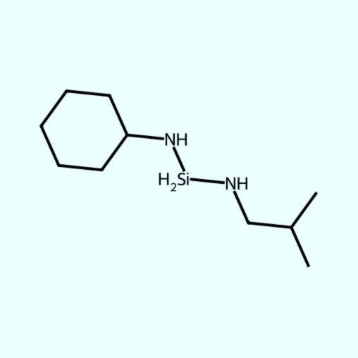 CC(C)CN[SiH2]NC1CCCCC1